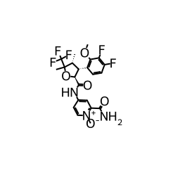 COc1c([C@@H]2[C@@H](C(=O)Nc3cc[n+]([O-])c(C(N)=O)c3)OC(C)(C(F)(F)F)[C@@H]2C)ccc(F)c1F